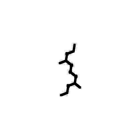 CCOC(C)OOOC(C)OCC